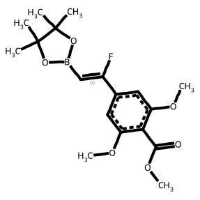 COC(=O)c1c(OC)cc(/C(F)=C/B2OC(C)(C)C(C)(C)O2)cc1OC